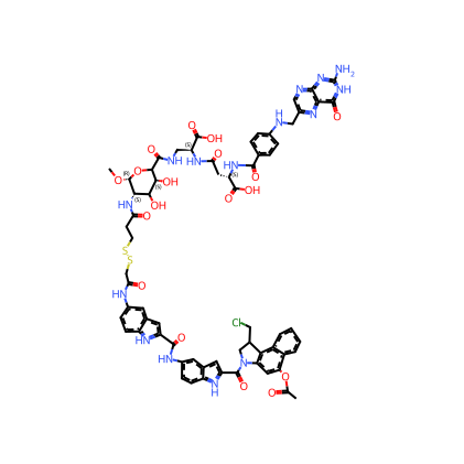 CO[C@@H]1OC(C(=O)NC[C@H](NC(=O)C[C@H](NC(=O)c2ccc(NCc3cnc4nc(N)[nH]c(=O)c4n3)cc2)C(=O)O)C(=O)O)[C@@H](O)C(O)[C@@H]1NC(=O)CCSSCC(=O)Nc1ccc2[nH]c(C(=O)Nc3ccc4[nH]c(C(=O)N5CC(CCl)c6c5cc(OC(C)=O)c5ccccc65)cc4c3)cc2c1